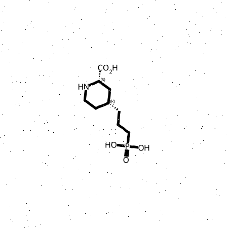 O=C(O)[C@@H]1C[C@H](CCCP(=O)(O)O)CCN1